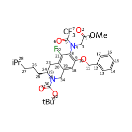 COC(=O)CN(C(=O)C(F)(F)F)c1c(OCc2ccccc2)cc2c(c1F)C[C@H](CCCC(C)C)N(C(=O)OC(C)(C)C)C2